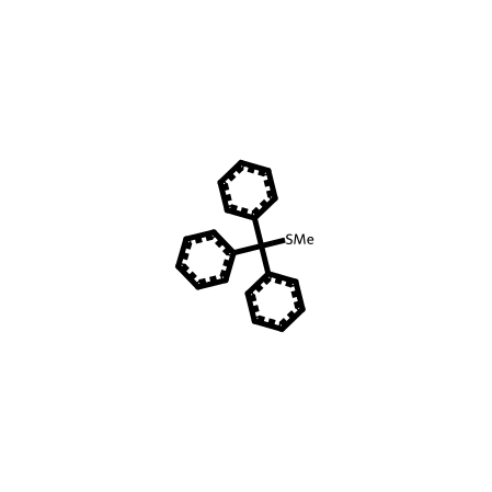 CSC(c1ccccc1)(c1ccccc1)c1ccccc1